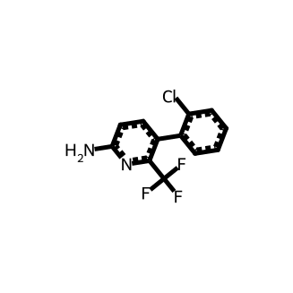 Nc1ccc(-c2ccccc2Cl)c(C(F)(F)F)n1